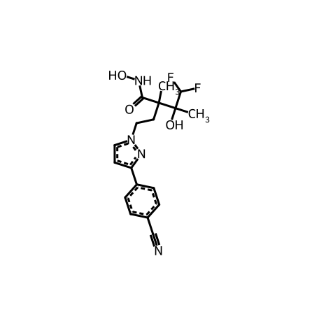 CC(CCn1ccc(-c2ccc(C#N)cc2)n1)(C(=O)NO)C(C)(O)C(F)F